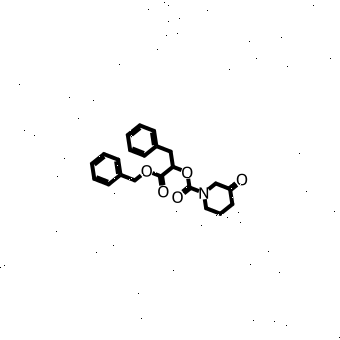 O=C1CCCN(C(=O)OC(Cc2ccccc2)C(=O)OCc2ccccc2)C1